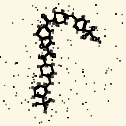 CS(=O)(=O)c1ccc(CN2CCN(C(=O)c3ccc4oc(C(=O)NC5CCN(Cc6cccc(C(F)(F)F)c6)CC5)cc4c3)CC2)cc1